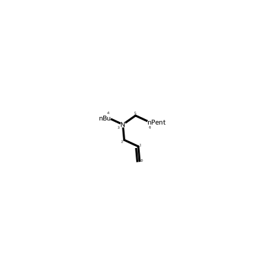 C=CCN(CCCC)CCCCCC